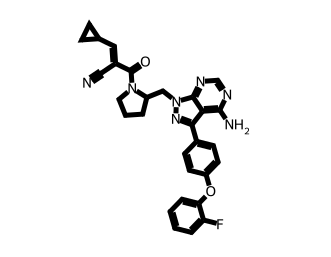 N#CC(=CC1CC1)C(=O)N1CCCC1Cn1nc(-c2ccc(Oc3ccccc3F)cc2)c2c(N)ncnc21